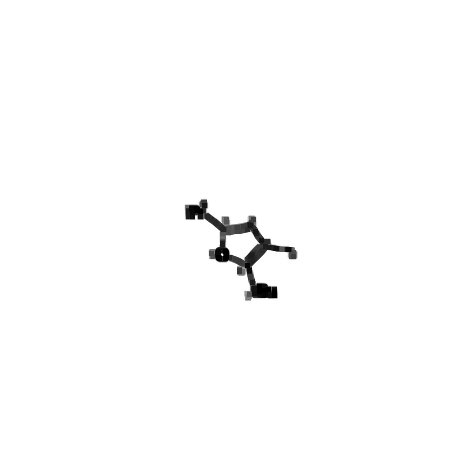 Cc1cc(C(C)C)oc1C(C)(C)C